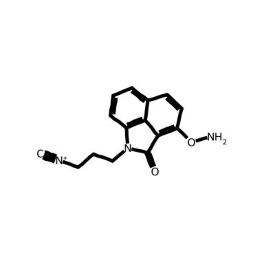 [C-]#[N+]CCCN1C(=O)c2c(ON)ccc3cccc1c23